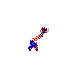 C[C@@H](C(=O)N[C@H](C(=O)N1CCC[C@H]1c1nc(-c2ccc(OCCOCCOCCO[C@@H]3C[C@@H](COc4nc5c(c(N6CCN(C(=O)OCc7ccccc7)[C@@H](CC#N)C6)n4)CCN(c4cccc6ccccc46)C5)N(C)C3)c3ccccc23)cs1)C1CCCCC1)N(C)C(=O)OC(C)(C)C